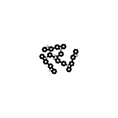 c1cc(-c2nc(-c3cccc(-n4c5ccccc5c5ccc(-c6ccc7c(c6)oc6ccccc67)cc54)c3)c3cc(-c4ccc(-n5c6ccccc6c6ccc(-c7ccc8c(c7)oc7ccccc78)cc65)cc4)ccc3n2)cc(-n2c3ccccc3c3ccc(-c4ccc5c(c4)oc4ccccc45)cc32)c1